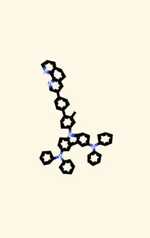 Cc1cc(-n2c3ccc(N(c4ccccc4)c4ccccc4)cc3c3cc(N(c4ccccc4)c4ccccc4)ccc32)ccc1-c1ccc(-c2cnc3c(ccc4cccnc43)c2)cc1